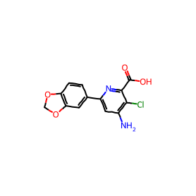 Nc1cc(-c2ccc3c(c2)OCO3)nc(C(=O)O)c1Cl